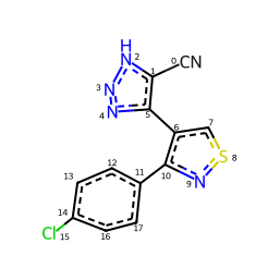 N#Cc1[nH]nnc1-c1csnc1-c1ccc(Cl)cc1